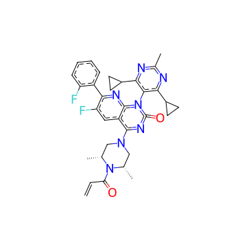 C=CC(=O)N1[C@H](C)CN(c2nc(=O)n(-c3c(C4CC4)nc(C)nc3C3CC3)c3nc(-c4ccccc4F)c(F)cc23)C[C@@H]1C